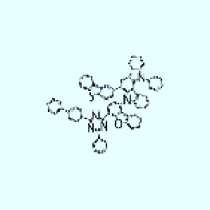 c1ccc(-c2ccc(-c3nc(-c4ccccc4)nc(-c4ccc(-n5c6ccccc6c6c5c(-c5ccc7sc8ccccc8c7c5)cc5c7ccccc7n(-c7ccccc7)c56)c5c4oc4ccccc45)n3)cc2)cc1